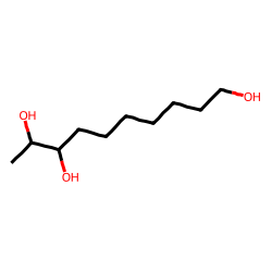 CC(O)C(O)CCCCCCCO